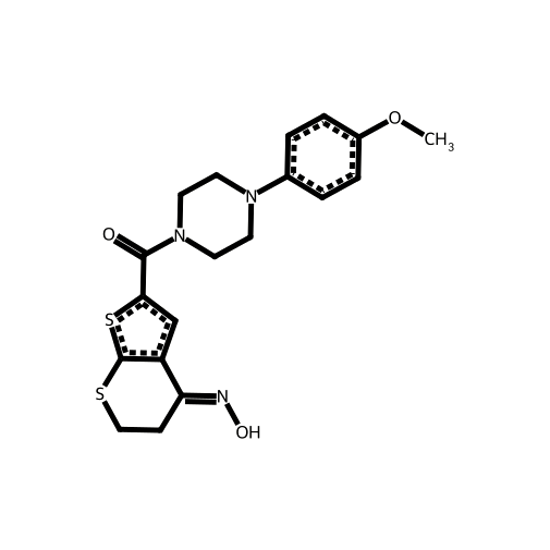 COc1ccc(N2CCN(C(=O)c3cc4c(s3)SCCC4=NO)CC2)cc1